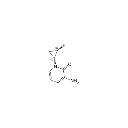 Nc1cccn([C@H]2C[C@H]2F)c1=O